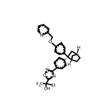 CCC(O)(c1nc(-c2ccc([C@]3(c4ccc(OCc5ccccn5)cc4)C[C@@H]4CC[C@H]3C4)cc2)no1)C(F)(F)F